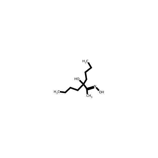 CCCCC(O)(CCCC)C(C)=NO